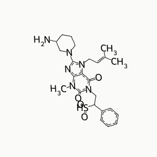 CC(C)=CCn1c(N2CCCC(N)C2)nc2c1c(=O)n(CC(c1ccccc1)[SH](=O)=O)c(=O)n2C